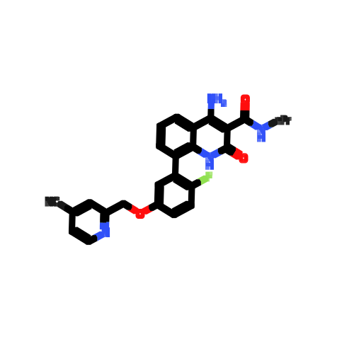 CCCNC(=O)c1c(N)c2cccc(-c3cc(OCc4cc(C#N)ccn4)ccc3F)c2[nH]c1=O